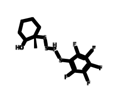 C[C@]1(SSPSc2c(F)c(F)c(F)c(F)c2F)CCCCC1O